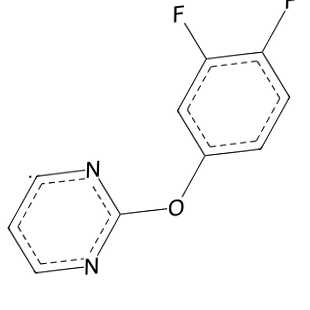 Fc1ccc(Oc2n[c]ccn2)cc1F